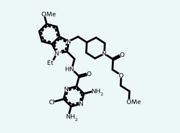 CC[n+]1c(CNC(=O)c2nc(Cl)c(N)nc2N)n(CC2CCN(C(=O)COCCOC)CC2)c2cc(OC)ccc21